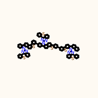 c1ccc2c(c1)Sc1cccc3nc(-n4c5cc(-c6cccc7c6sc6ccc8c(ccc9c%10ccccc%10n(-c%10nc%11c%12c(cccc%12n%10)Sc%10ccccc%10-%11)c89)c67)ccc5c5ccc6c(ccc7c8ccc(-c9ccc%10sc%11c(ccc%12c%13ccc%14ccccc%14c%13n(-c%13nc%14c%15c(cccc%15n%13)Sc%13ccccc%13-%14)c%12%11)c%10c9)cc8sc76)c54)nc-2c13